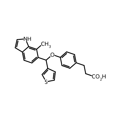 Cc1c(C(Oc2ccc(CCC(=O)O)cc2)c2ccsc2)ccc2cc[nH]c12